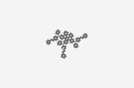 C(=C\c1ccc(N(c2ccccc2)c2ccc(-c3c(-c4ccccc4)c(-c4ccccc4)c(-c4ccc(N(c5ccccc5)c5ccc(/C=C/c6ccccc6)cc5)cc4)c4cc(N(c5ccccc5)c5ccc(/C=C/c6ccccc6)cc5)ccc34)cc2)cc1)/c1ccccc1